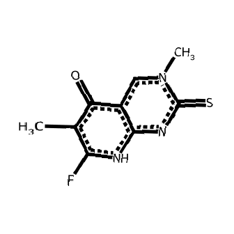 Cc1c(F)[nH]c2nc(=S)n(C)cc2c1=O